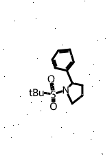 CC(C)(C)S(=O)(=O)N1CCCC1c1ccccc1